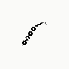 CCCCCC[C@H]1CC[C@H](c2ccc(-c3cnc(-c4ccc(F)cc4)nc3)cc2)CC1